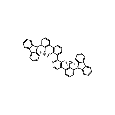 Cc1c(-c2cccc(-n3c4ccccc4c4ccccc43)c2C)cccc1-c1nccc(-c2cccc(-n3c4ccccc4c4ccccc43)c2C)c1C